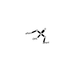 CCCCCOP(=O)(C=O)OCCCCC